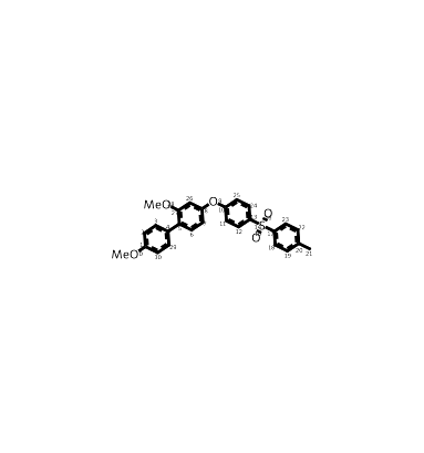 COc1ccc(-c2ccc(Oc3ccc(S(=O)(=O)c4ccc(C)cc4)cc3)cc2OC)cc1